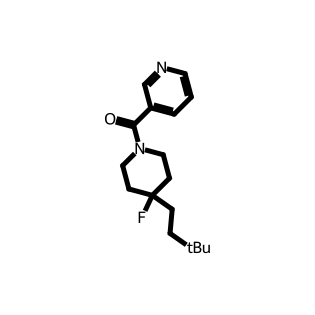 CC(C)(C)CCC1(F)CCN(C(=O)c2cccnc2)CC1